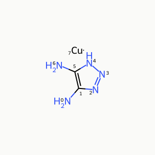 Nc1nn[nH]c1N.[Cu]